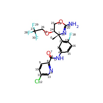 C[C@]1(c2cc(NC(=O)c3ccc(Cl)cn3)ccc2F)N=C(N)OC[C@@H]1OCC(F)(F)F